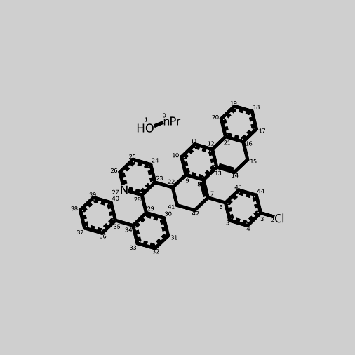 CCCO.Clc1ccc(C2=c3c(ccc4c3=CCc3ccccc3-4)C(c3cccnc3-c3ccccc3-c3ccccc3)CC2)cc1